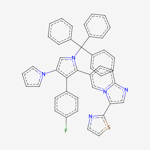 Fc1ccc(-c2c(-n3cccc3)cn(C(c3ccccc3)(c3ccccc3)c3ccccc3)c2-c2ccc3ncc(-c4nccs4)n3c2)cc1